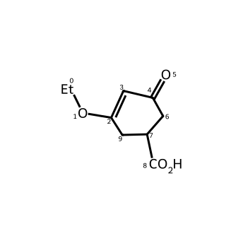 CCOC1=CC(=O)CC(C(=O)O)C1